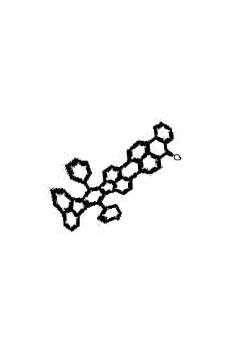 O=C1c2ccccc2-c2ccc3c4ccc5c6c(-c7ccccc7)c7c8cccc9cccc(c7c(-c7ccccc7)c6c6ccc(c7ccc1c2c73)c4c65)c98